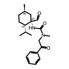 CC(C)[C@@H]1CC[C@@H](C)C[C@]1(C=O)NC(=O)N(C)CC(=O)c1ccccc1